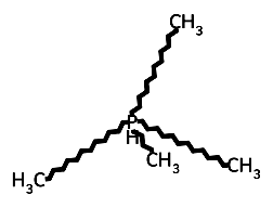 CCCCCCCCCCCCC[PH](CCCCC)(CCCCCCCCCCCCC)CCCCCCCCCCCCC